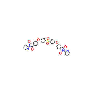 O=C1c2ccc(Oc3ccc(S(=O)(=O)c4ccc(Oc5ccc6c(c5)C(=O)N(c5ccccn5)C6=O)cc4)cc3)cc2C(=O)N1c1ccccn1